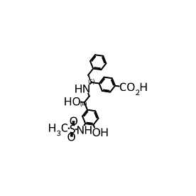 CS(=O)(=O)Nc1cc([C@@H](O)CN[C@@H](Cc2ccccc2)c2ccc(C(=O)O)cc2)ccc1O